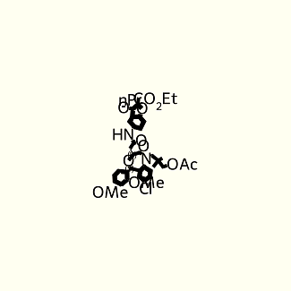 CCCOc1c(C(=O)OCC)oc2ccc(NC(=O)C[C@H]3O[C@H](c4cccc(OC)c4OC)c4cc(Cl)ccc4N(CC(C)(C)COC(C)=O)C3=O)cc12